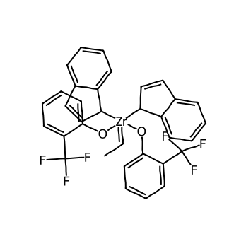 C[CH]=[Zr]([O]c1ccccc1C(F)(F)F)([O]c1ccccc1C(F)(F)F)([CH]1C=Cc2ccccc21)[CH]1C=Cc2ccccc21